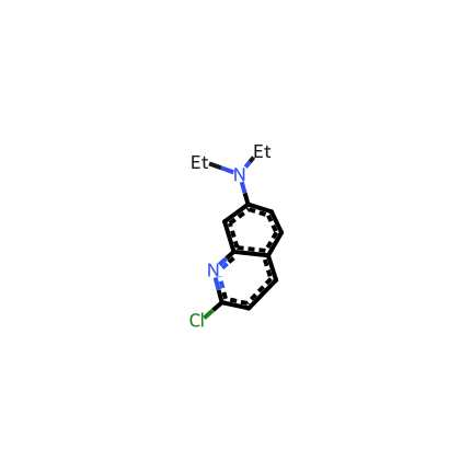 CCN(CC)c1ccc2ccc(Cl)nc2c1